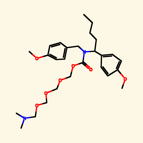 CCCCC(c1ccc(OC)cc1)N(Cc1ccc(OC)cc1)C(=O)OCOCOCOCN(C)C